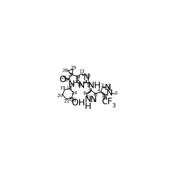 Cn1ncc(-c2n[nH]cc2Nc2ncc3c(n2)N([C@@H]2CCC[C@@H](O)C2)C(=O)C32CC2)c1C(F)(F)F